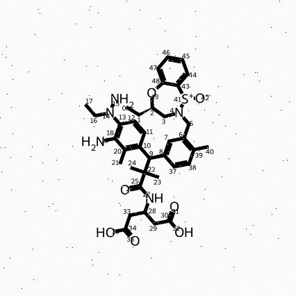 CC[C@@H]1CN(Cc2cc(C(c3ccc(N(N)CC)c(N)c3C)C(C)(C)C(=O)NC(CC(=O)O)CC(=O)O)ccc2C)[S+]([O-])c2ccccc2O1